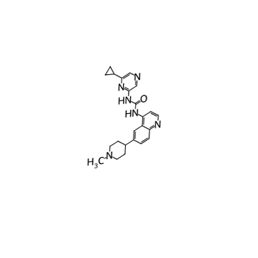 CN1CCC(c2ccc3nccc(NC(=O)Nc4cncc(C5CC5)n4)c3c2)CC1